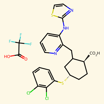 O=C(O)C(F)(F)F.O=C(O)[C@H]1CC[C@H](Sc2cccc(Cl)c2Cl)CC1Cc1ncccc1Nc1nccs1